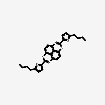 CCCCc1ccc(C2=Nc3ccc4c5c(ccc(c35)S2)N=C(c2ccc(CCCC)s2)S4)s1